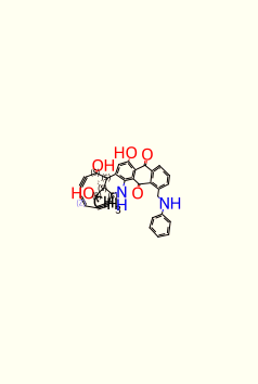 C[C@@H](O)[C@@]12C[C@]13c1cc(O)c4c(c1N[C@H]2C#C/C=C\C#C[C@H]3O)C(=O)c1c(CNc2ccccc2)cccc1C4=O